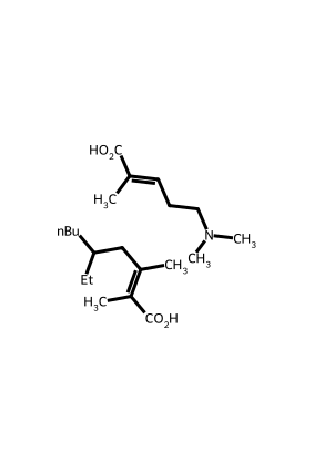 CC(=CCCN(C)C)C(=O)O.CCCCC(CC)CC(C)=C(C)C(=O)O